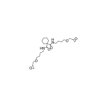 O=C(NCCCCOCC1CO1)C1(C(=O)NCCCCOCC2CO2)CCCCC1